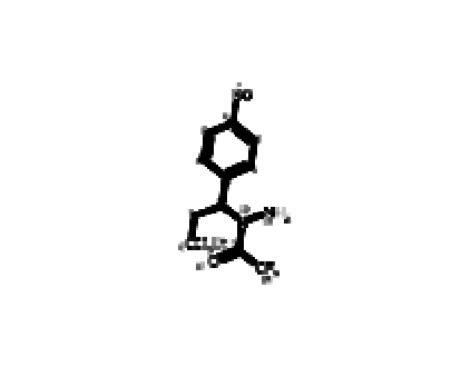 CCOC(=O)CC(c1ccc(N=O)cc1)N(N)C(=O)C(F)(F)F